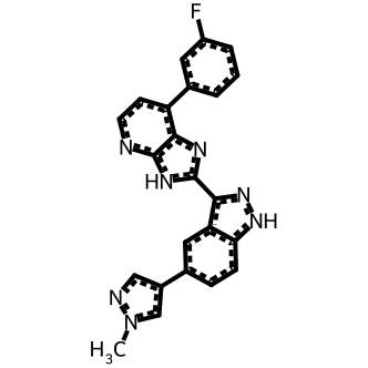 Cn1cc(-c2ccc3[nH]nc(-c4nc5c(-c6cccc(F)c6)ccnc5[nH]4)c3c2)cn1